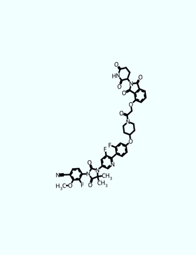 COc1c(C#N)ccc(N2C(=O)N(c3cnc(-c4ccc(OC5CCN(C(=O)COc6cccc7c6C(=O)N(C6CCC(=O)NC6=O)C7=O)CC5)cc4F)c(F)c3)C(C)(C)C2=O)c1F